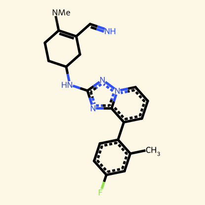 CNC1=C(C=N)CC(Nc2nc3c(-c4ccc(F)cc4C)cccn3n2)CC1